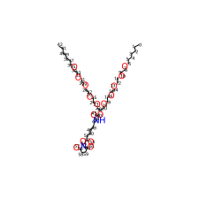 CCCCCCCOCCOCCOCCOCCOCC(COCCOCCOCCOCCOCCCCCCC)OC(=O)NCCCCCC(=O)ON1C(=O)CCC1=O